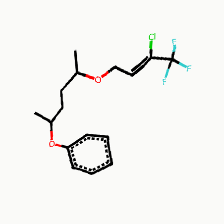 CC(CCC(C)Oc1ccccc1)OCC=C(Cl)C(F)(F)F